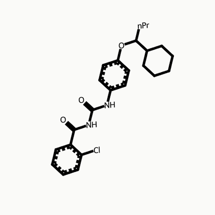 CCCC(Oc1ccc(NC(=O)NC(=O)c2ccccc2Cl)cc1)C1CCCCC1